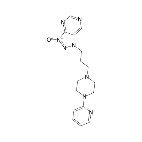 [O-][n+]1nn(CCCN2CCN(c3ccccn3)CC2)c2cncnc21